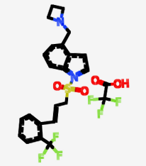 O=C(O)C(F)(F)F.O=S(=O)(CC=Cc1ccccc1C(F)(F)F)n1ccc2c(CN3CCC3)cccc21